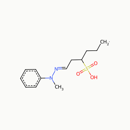 [CH2]CCC(CC=NN(C)c1ccccc1)S(=O)(=O)O